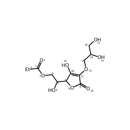 CCC(=O)OCC(O)C1OC(=O)C(OCC(O)CO)=C1O